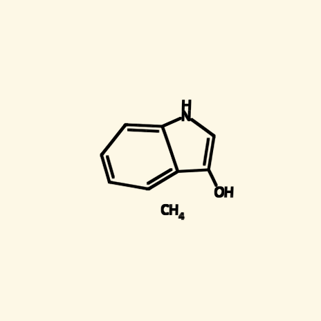 C.Oc1c[nH]c2ccccc12